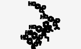 CC(C)COC(=O)c1ccc(O)cc1.CC(O)Oc1ccccc1.CCCCOC(=O)c1ccc(O)cc1.CCCOC(=O)c1ccc(O)cc1.CCOC(=O)c1ccc(O)cc1.COC(=O)c1ccc(O)cc1